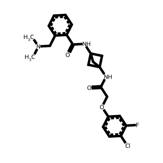 CN(C)Cc1ccccc1C(=O)NC12CC(NC(=O)COc3ccc(Cl)c(F)c3)(C1)C2